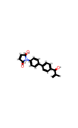 C=C(C)C(=O)c1ccc(-c2ccc(N3C(=O)C=CC3=O)cc2)cc1